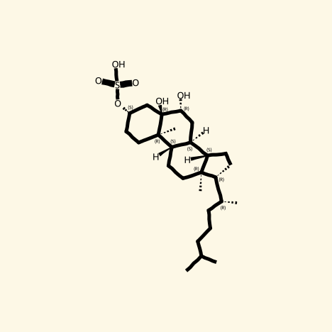 CC(C)CCC[C@@H](C)[C@H]1CC[C@H]2[C@@H]3C[C@@H](O)[C@@]4(O)C[C@@H](OS(=O)(=O)O)CC[C@]4(C)[C@H]3CC[C@]12C